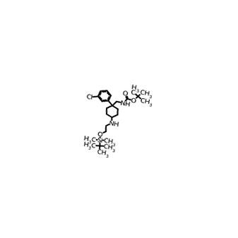 CC(C)(C)OC(=O)NCC1(c2cccc(Cl)c2)CCC(NCCO[Si](C)(C)C(C)(C)C)CC1